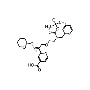 CC(C)(C)OC(=O)N(CCOC/C(=N\OC1CCCCO1)c1cc(C(=O)O)ccn1)Cc1ccccc1